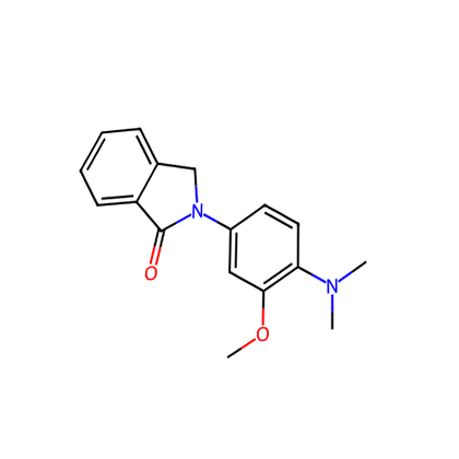 COc1cc(N2Cc3ccccc3C2=O)ccc1N(C)C